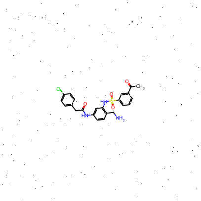 CC(=O)c1cccc(S(=O)(=O)Nc2cc(NC(=O)Cc3ccc(Cl)cc3)ccc2CN)c1